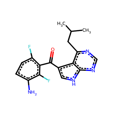 CC(C)Cc1ncnc2[nH]cc(C(=O)c3c(F)ccc(N)c3F)c12